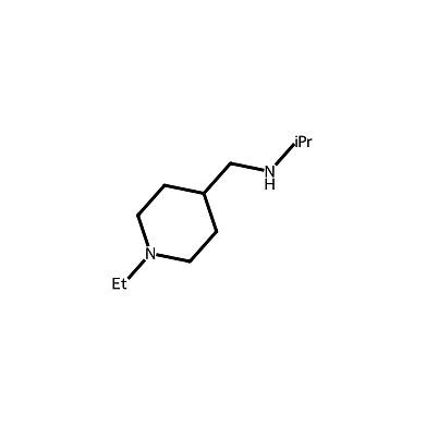 CCN1CCC(CNC(C)C)CC1